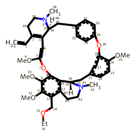 C=CC1=C2/C=C(\OC)Oc3c(OC)c(OC)c(COCC)c4c3[C@H](Cc3ccc(OC)c(c3)Oc3ccc(cc3)C[C@@H]2N(C)CC1)N(C)CC4